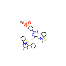 CC/C(CC[n+]1c(C)sc2ccccc21)=N/Nc1ccc(S(=O)(=O)O)cc1.CC1=C(c2ccccc2)c2sc3ccccc3[n+]2CC1.[Br-].[I-]